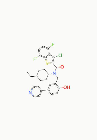 CC[C@H]1CC[C@H](N(Cc2cc(-c3ccncc3)ccc2O)C(=O)c2sc3c(F)ccc(F)c3c2Cl)CC1